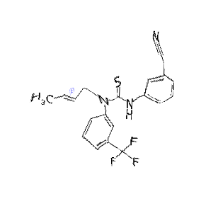 C/C=C/CN(C(=S)Nc1cccc(C#N)c1)c1cccc(C(F)(F)F)c1